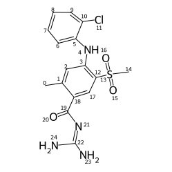 Cc1cc(Nc2ccccc2Cl)c(S(C)(=O)=O)cc1C(=O)N=C(N)N